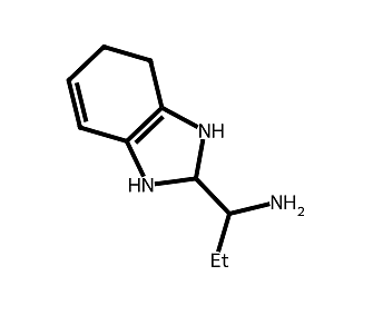 CCC(N)C1NC2=C(CCC=C2)N1